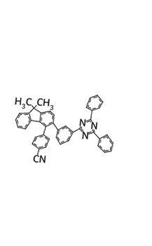 CC1(C)c2ccccc2-c2c1ccc(-c1cccc(-c3nc(-c4ccccc4)nc(-c4ccccc4)n3)c1)c2-c1ccc(C#N)cc1